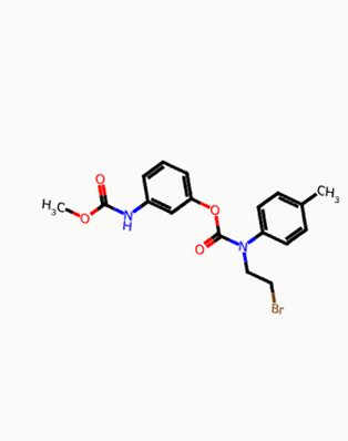 COC(=O)Nc1cccc(OC(=O)N(CCBr)c2ccc(C)cc2)c1